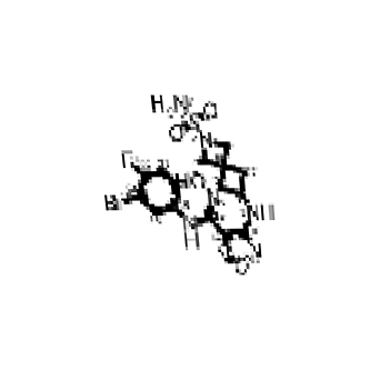 NS(=O)(=O)N1CC2(CC(Nc3nonc3C(=NO)Nc3ccc(F)c(Br)c3)C2)C1